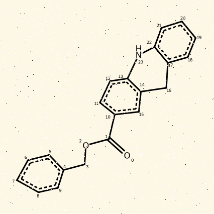 O=C(OCc1ccccc1)c1ccc2c(c1)Cc1ccccc1N2